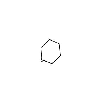 [C]1C[C]CSC1